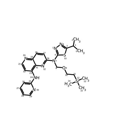 CC(C)c1nnc(N(COCC[Si](C)(C)C)c2ccc3nccc(Nc4ccccn4)c3n2)s1